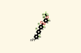 CCCc1ccc(-c2ccc(-c3cc(F)c(C(=O)Oc4cc(F)c(OC(F)(F)C(F)F)c(F)c4)c(F)c3)c(F)c2)c(F)c1